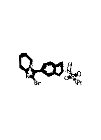 CC(C)S(=O)(=O)N[C@H]1Cc2ccc(-c3c(Br)nc4n3CCCC4)cc2C1